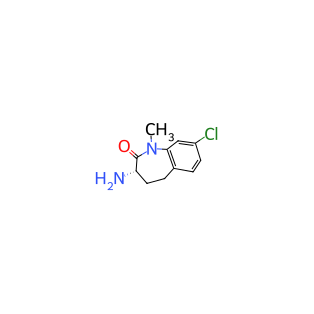 CN1C(=O)[C@@H](N)CCc2ccc(Cl)cc21